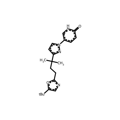 CC(C)(C)c1cnc(CCC(C)(C)c2ccn(-c3ccc(=O)[nH]c3)n2)o1